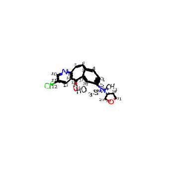 C[N+](c1ccc2ccc3ncc(Cl)cc3c(=O)c2c1)([C@@H]1CCOC1)S(=O)(=O)O